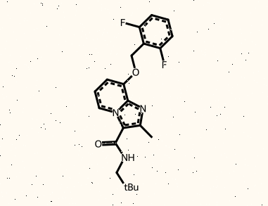 [CH2]C(C)(C)CNC(=O)c1c(C)nc2c(OCc3c(F)cccc3F)cccn12